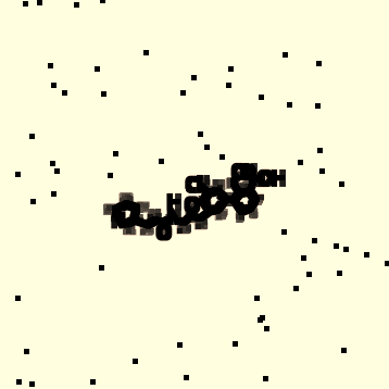 CCc1c(C(=O)O)cccc1-c1cc(Cl)c2c(c1)CC(CNC(=O)C=Cc1cccnc1)O2